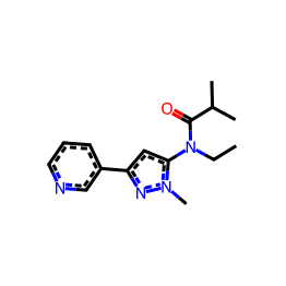 CCN(C(=O)C(C)C)c1cc(-c2cccnc2)nn1C